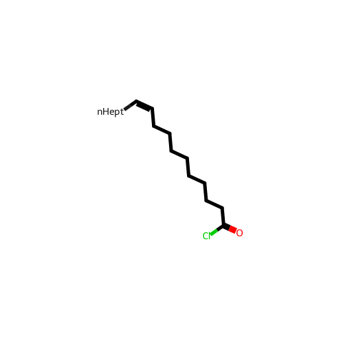 CCCCCCC/C=C\CCCCCCCCC(=O)Cl